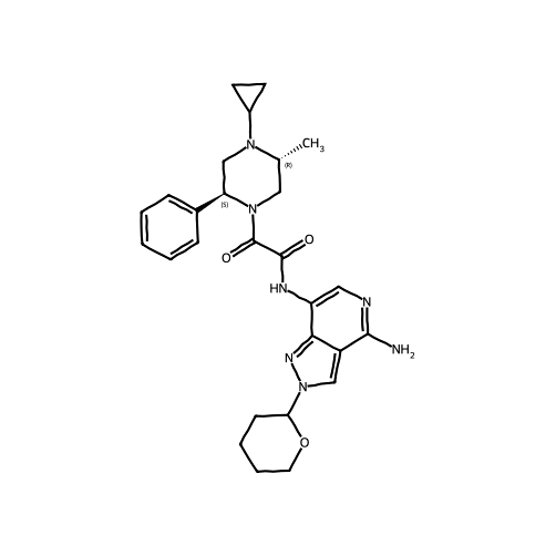 C[C@@H]1CN(C(=O)C(=O)Nc2cnc(N)c3cn(C4CCCCO4)nc23)[C@@H](c2ccccc2)CN1C1CC1